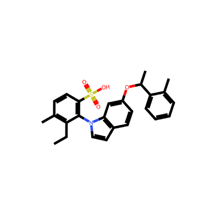 CCc1c(C)ccc(S(=O)(=O)O)c1-n1ccc2ccc(OC(C)c3ccccc3C)cc21